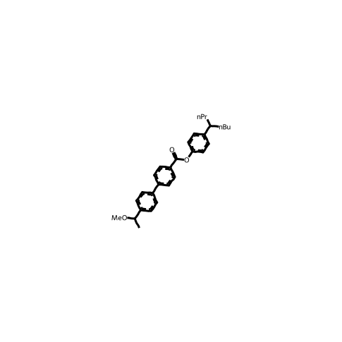 CCCCC(CCC)c1ccc(OC(=O)c2ccc(-c3ccc(C(C)OC)cc3)cc2)cc1